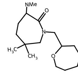 CNC1CCC(C)(C)CN(CC2CCCCCO2)C1=O